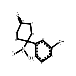 CCN(C)C1(c2cccc(O)c2)CCC(=O)CC1